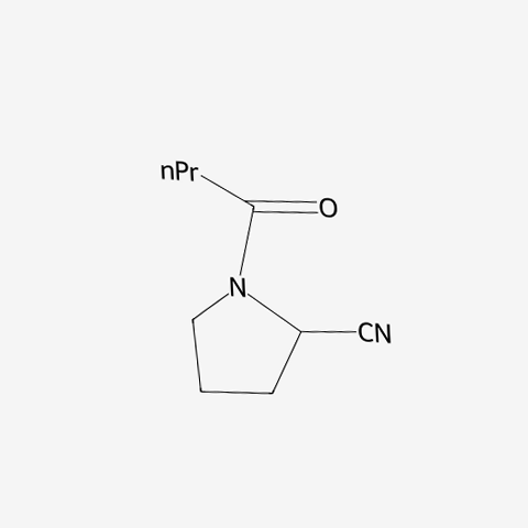 CCCC(=O)N1CCCC1C#N